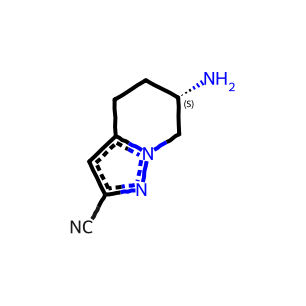 N#Cc1cc2n(n1)C[C@@H](N)CC2